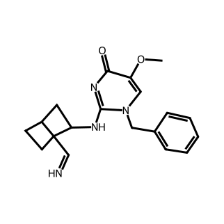 COc1cn(Cc2ccccc2)c(NC2CC3CCC32C=N)nc1=O